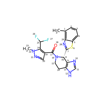 Cc1cccc2sc([C@@H]3c4nc[nH]c4CCN3C(=O)c3cnn(C)c3C(F)F)nc12